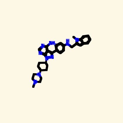 CN1CCN([C@H]2CC[C@@H](n3nc(-c4ccc(NCc5cc6ccccc6n5C)cc4)c4c(N)ncnc43)CC2)CC1